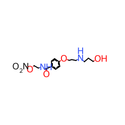 O=C(NCCO[N+](=O)[O-])c1ccc(OCCCNCCCO)cc1